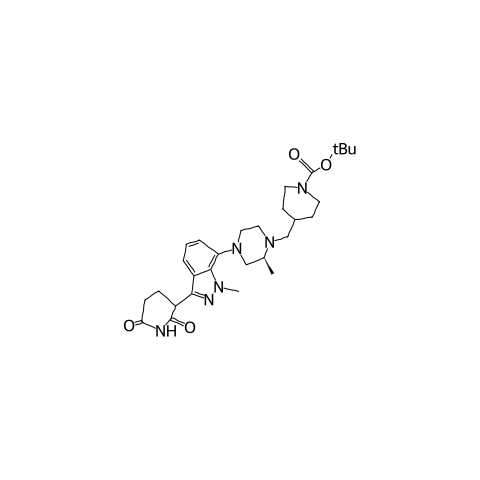 C[C@H]1CN(c2cccc3c(C4CCC(=O)NC4=O)nn(C)c23)CCN1CC1CCN(C(=O)OC(C)(C)C)CC1